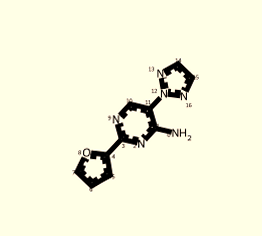 Nc1nc(-c2ccco2)ncc1-n1nccn1